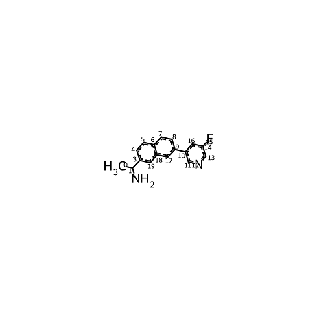 CC(N)c1ccc2ccc(-c3cncc(F)c3)cc2c1